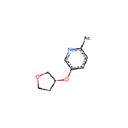 CC(=O)c1ccc(O[C@H]2CCOC2)cn1